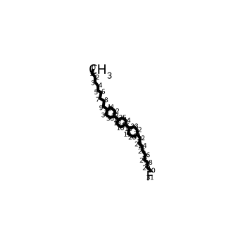 CCCCCCCCCCC1CCC(C2CCC(C3CCC(CCCCCCCCCF)CC3)CC2)CC1